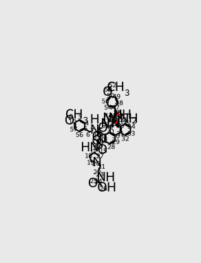 COc1ccc(CNS(=O)(=O)c2c(S(=O)(=O)NC3CCN(CCNC(=O)O)C3)ccc(-c3cccc4[nH]c(N)nc34)c2-c2nnn(Cc3ccc(OC)cc3)n2)cc1